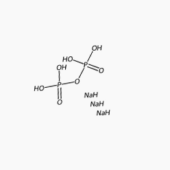 O=P(O)(O)OP(=O)(O)O.[NaH].[NaH].[NaH]